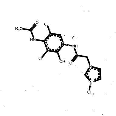 CC(=O)Nc1c(Cl)cc(NC(=O)Cn2cc[n+](C)c2)c(O)c1Cl.[Cl-]